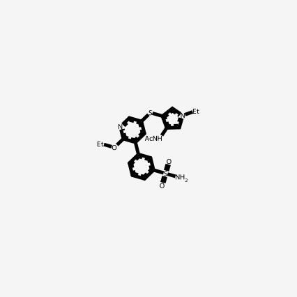 CCOc1ncc(Sc2cn(CC)cc2NC(C)=O)cc1-c1cccc(S(N)(=O)=O)c1